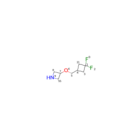 FC1(F)CC(COC2CNC2)C1